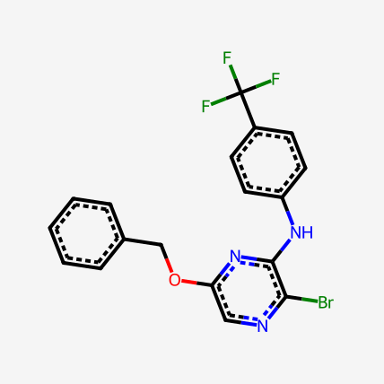 FC(F)(F)c1ccc(Nc2nc(OCc3ccccc3)cnc2Br)cc1